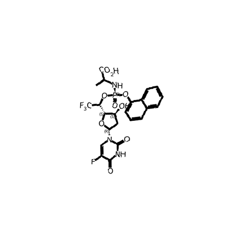 CC(N[P@](=O)(Oc1cccc2ccccc12)OC([C@H]1O[C@@H](n2cc(F)c(=O)[nH]c2=O)C[C@@H]1O)C(F)(F)F)C(=O)O